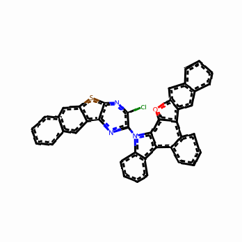 Clc1nc2sc3cc4ccccc4cc3c2nc1-n1c2ccccc2c2c3ccccc3c3c4cc5ccccc5cc4oc3c21